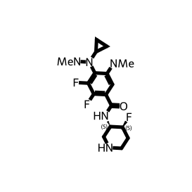 CNc1cc(C(=O)N[C@H]2CNCC[C@@H]2F)c(F)c(F)c1N(NC)C1CC1